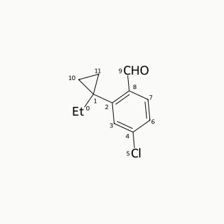 CCC1(c2cc(Cl)ccc2C=O)CC1